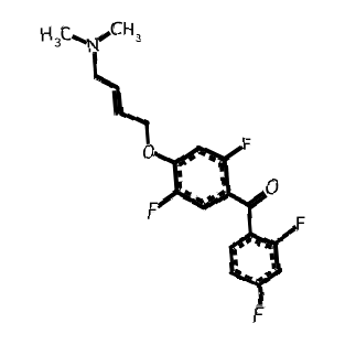 CN(C)CC=CCOc1cc(F)c(C(=O)c2ccc(F)cc2F)cc1F